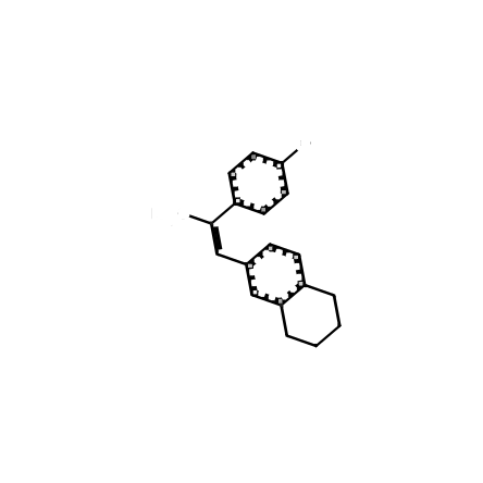 O=C(O)C(=Cc1ccc2c(c1)CCCC2)c1ccc(O)cc1